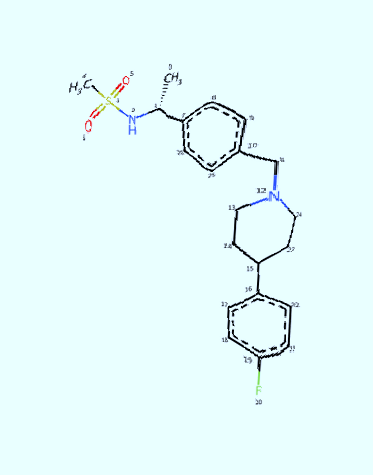 C[C@@H](NS(C)(=O)=O)c1ccc(CN2CCC(c3ccc(F)cc3)CC2)cc1